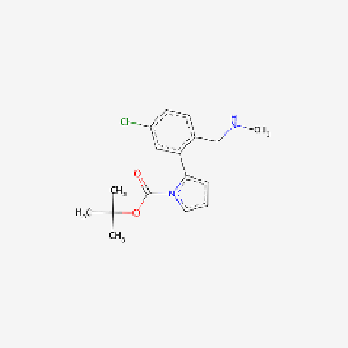 CNCc1ccc(Cl)cc1-c1cccn1C(=O)OC(C)(C)C